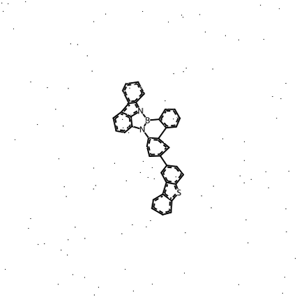 c1ccc2c(c1)B1N(c3ccc(-c4ccc5sc6ccccc6c5c4)cc3-2)c2cccc3c4ccccc4n1c23